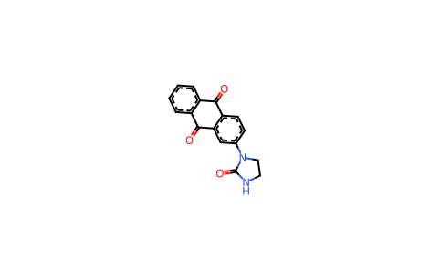 O=C1c2ccccc2C(=O)c2cc(N3CCNC3=O)ccc21